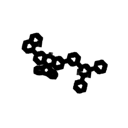 c1ccc(-c2cc(-c3cccc(-c4ccc5c(c4)Sc4cc(-c6cccc7cccnc67)ccc4C54c5ccccc5-c5ccccc54)c3)nc(-c3ccccc3)n2)cc1